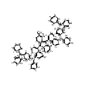 Cc1ccc2c(-c3cccc4c(N(c5ccccc5)c5ccc6c(c5)c5ccccc5n6-c5ccccc5)cccc34)c3ccccc3c(-c3cccc4c(N(c5ccccc5)c5ccc6c(c5)c5ccccc5n6-c5ccccc5)cccc34)c2c1